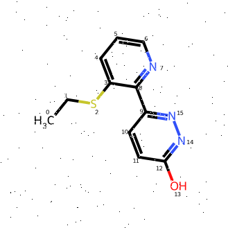 CCSc1cccnc1-c1ccc(O)nn1